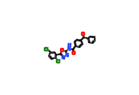 O=C(Nc1nnc(-c2cc(Cl)ccc2Cl)o1)c1ccc(C(=O)c2ccccc2)cc1